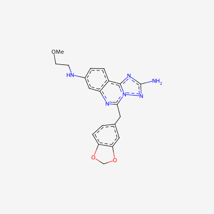 COCCNc1ccc2c(c1)nc(Cc1ccc3c(c1)OCO3)n1nc(N)nc21